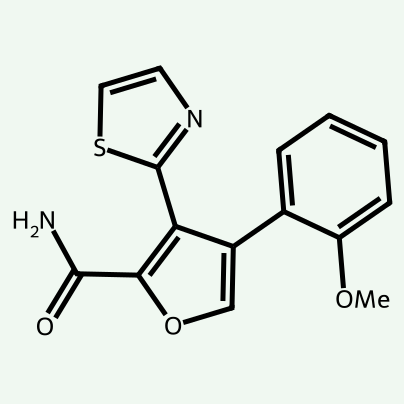 COc1ccccc1-c1coc(C(N)=O)c1-c1nccs1